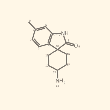 Cc1ccc2c(c1)NC(=O)C21CCC(N)CC1